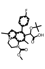 COC(=O)N1CCn2c(C)cc3c(-c4ccc(F)cc4)c(C(OC(C)(C)C)C(=O)O)c(C)c1c32